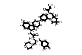 C=CC(=O)N1C[C@@H]2CC(F)(F)CN2c2cc(N3CCC4(CC3)C[C@@H](CC(=O)N[C@H](Cc3ccc(F)c(F)c3)CN3CCOCC3)c3ccc(F)cc34)ccc21